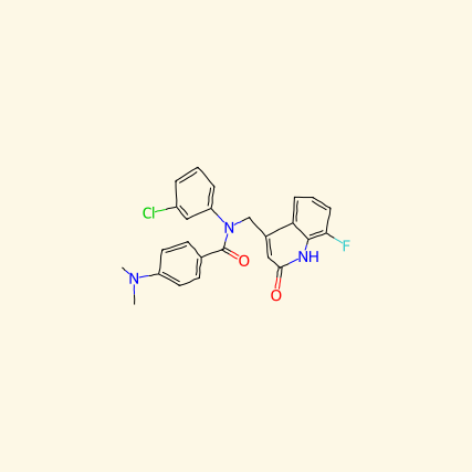 CN(C)c1ccc(C(=O)N(Cc2cc(=O)[nH]c3c(F)cccc23)c2cccc(Cl)c2)cc1